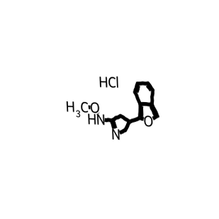 CONC1=NCC(c2occ3ccccc23)C1.Cl